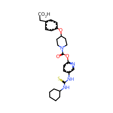 O=C(O)Cc1ccc(OC2CCN(C(=O)Oc3ccc(NC(=S)NC4CCCCC4)cn3)CC2)cc1